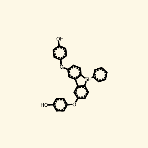 Oc1ccc(Oc2ccc3c(c2)-c2cc(Oc4ccc(O)cc4)ccc2[SH]3c2ccccc2)cc1